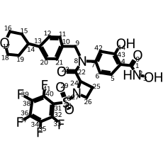 O=C(NO)c1ccc(N(Cc2ccc(C3CCOCC3)cc2)C(=O)C2CCN2S(=O)(=O)c2c(F)c(F)c(F)c(F)c2F)cc1O